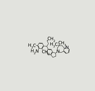 C=CCC(c1ccc2c(c1)C(N1Cc3cccnc3CC(C)(C)C1)CC2)c1ccc(C)c(N)c1C